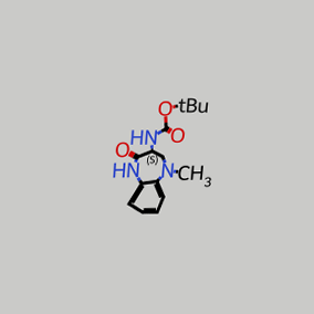 CN1C[C@H](NC(=O)OC(C)(C)C)C(=O)Nc2ccccc21